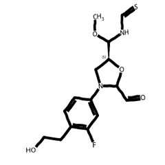 COC(NC=S)[C@@H]1CN(c2ccc(CCO)c(F)c2)C(C=O)O1